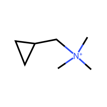 C[N+](C)(C)CC1CC1